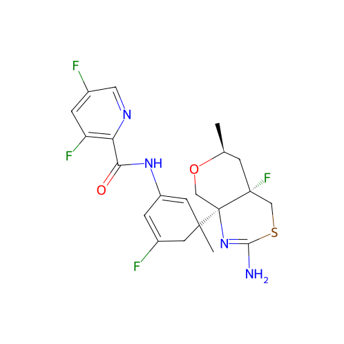 C[C@H]1C[C@@]2(F)CSC(N)=N[C@@]2(C2(C)C=C(NC(=O)c3ncc(F)cc3F)C=C(F)C2)CO1